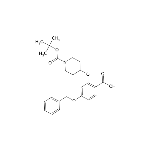 CC(C)(C)OC(=O)N1CCC(Oc2cc(OCc3ccccc3)ccc2C(=O)O)CC1